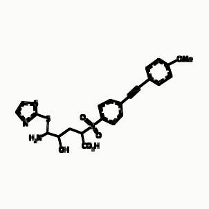 COc1ccc(C#Cc2ccc(S(=O)(=O)C(CC(O)C(N)Sc3nccs3)C(=O)O)cc2)cc1